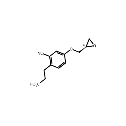 N#Cc1cc(OC[C@H]2CO2)ccc1CCC(=O)O